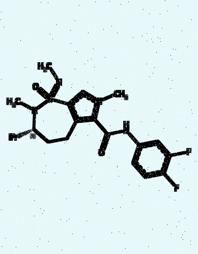 CN=S1(=O)c2cn(C)c(C(=O)Nc3ccc(F)c(F)c3)c2CC[C@H](C(C)C)N1C